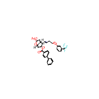 O=C(O[C@@H]1C[C@@H]2O[C@@H](O)C[C@@H]2[C@H]1/C=C/CCOc1cccc(C(F)(F)F)c1)c1ccc(-c2ccccc2)cc1